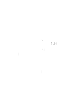 Nc1nc2ccc(Br)cc2n1CCCCl